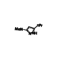 CCCc1cc(NC)n[nH]1